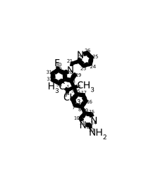 CC(C)C(C)(c1ccc(-c2cnc(N)nc2)cc1)c1cn(Cc2ccccn2)c2c(F)cccc12